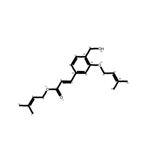 CC(C)=CCOC(=O)/C=C/c1ccc(CO)c(OCC=C(C)C)c1